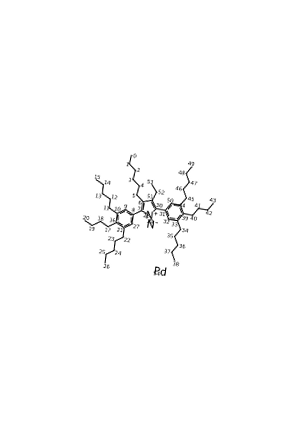 CCCCCCC1=C(c2cc(CCCCC)c(CCCC)c(CCCCC)c2)[N+](=[N-])C(c2cc(CCCCC)c(CCCC)c(CCCCC)c2)=C1CC.[Pd]